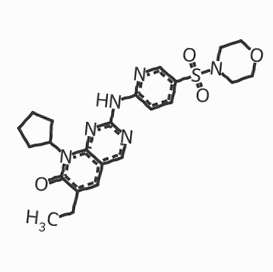 CCc1cc2cnc(Nc3ccc(S(=O)(=O)N4CCOCC4)cn3)nc2n(C2CCCC2)c1=O